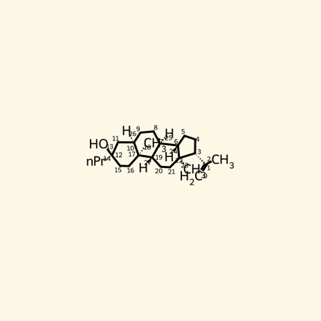 C=C(C)[C@H]1CC[C@H]2[C@@H]3CC[C@@H]4C[C@@](O)(CCC)CC[C@]4(C)[C@H]3CC[C@]12C